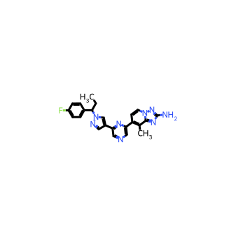 CCC(c1ccc(F)cc1)n1cc(-c2cncc(-c3ccn4nc(N)nc4c3C)n2)cn1